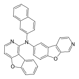 c1ccc2cc(N(c3ccc4oc5cnccc5c4c3)c3nccc4oc5ccccc5c34)ccc2c1